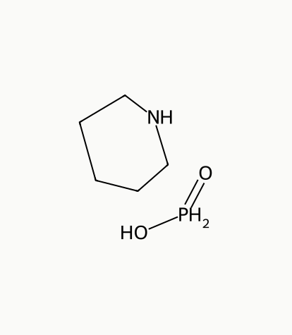 C1CCNCC1.O=[PH2]O